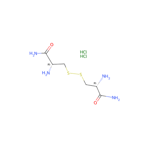 Cl.Cl.NC(=O)[C@@H](N)CSSC[C@H](N)C(N)=O